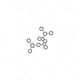 c1ccc(-c2cc(-c3ccccc3)cc(-n3c4ccccc4c4c3ccc3c5ccccc5n(-c5ccc(-c6nc(-c7ccccc7)cc(-c7ccccc7)n6)cc5)c34)c2)cc1